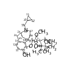 CCC(C(OC)[C@@H]1Oc2c(O)ccc3c2[C@@]12CCN(CC1CC1)C(C3)C2)C(C)(O)C(C)(C)C